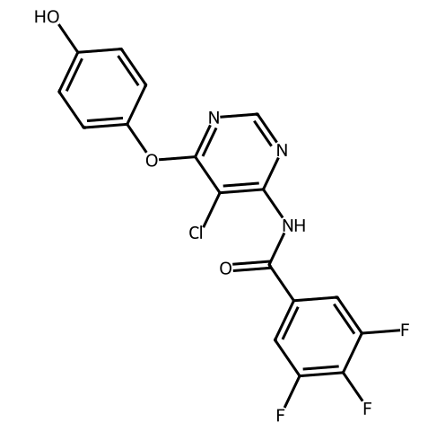 O=C(Nc1ncnc(Oc2ccc(O)cc2)c1Cl)c1cc(F)c(F)c(F)c1